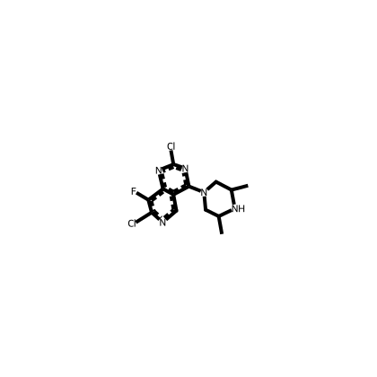 CC1CN(c2nc(Cl)nc3c(F)c(Cl)ncc23)CC(C)N1